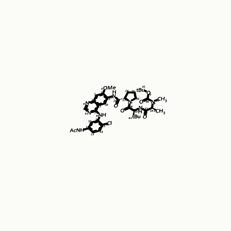 COc1cc2ncnc(Nc3cc(NC(C)=O)ccc3Cl)c2cc1NC(=O)[C@@H]1CCCN1C(=O)[C@@H](NC(=O)[C@H](C)N(C)C(=O)OC(C)(C)C)C(C)(C)C